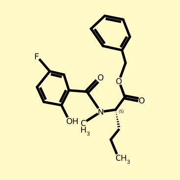 CCC[C@@H](C(=O)OCc1ccccc1)N(C)C(=O)c1cc(F)ccc1O